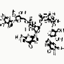 Nc1nc2c(ncn2[C@@H]2O[C@H](COP(=O)(O)OP(=O)(O)OP(=O)(O)OC[C@H]3O[C@@H](n4cnc5c(=O)[nH]c(N)nc54)[C@H](O)[C@@H]3OP(=O)(O)OCC3O[C@@H](n4cnc5c(=O)[nH]c(N)nc54)[C@H](O)[C@@H]3O)[C@@H](O)[C@H]2O)c(=O)[nH]1